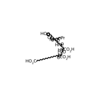 CC(C)CC(=O)C[C@@H](CCCCNC(=O)CC[C@H](NC(=O)CC[C@H](NC(=O)CCCCCCCCCCCCCCCCC(=O)O)C(=O)O)C(=O)O)C(=O)C[C@@H](Cc1ccc(O)cc1)C(N)=O